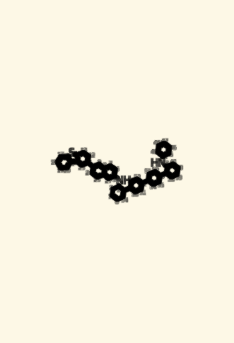 C1=CCC(Nc2ccc3cc(-c4ccc5sc6ccccc6c5c4)ccc3c2)C(c2ccc(-c3ccc(-c4ccccc4Nc4ccccc4)cc3)cc2)=C1